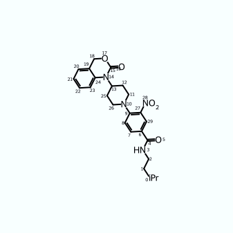 CC(C)CCNC(=O)c1ccc(N2CCC(N3C(=O)OCc4ccccc43)CC2)c([N+](=O)[O-])c1